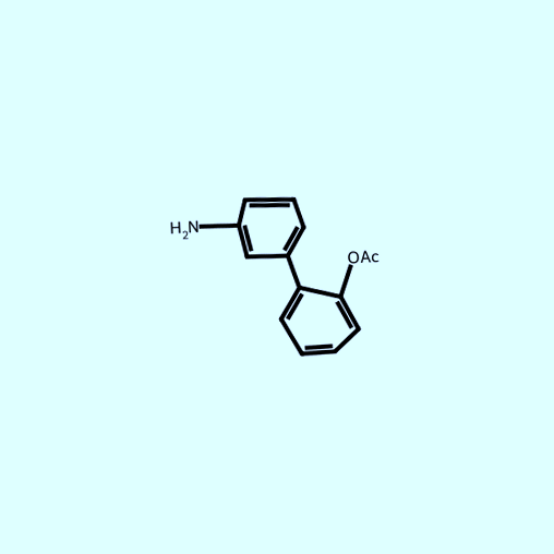 CC(=O)Oc1ccccc1-c1cccc(N)c1